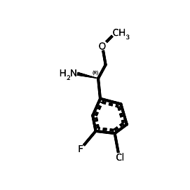 COC[C@H](N)c1ccc(Cl)c(F)c1